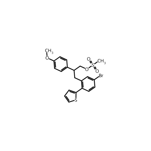 COc1ccc(C(COS(C)(=O)=O)Cc2cc(Br)ccc2-c2cccs2)cc1